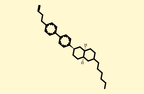 C=CCCc1ccc(-c2ccc([C@@H]3CC[C@@H]4CC(CCCCCC)CC[C@@H]4C3)cc2)cc1